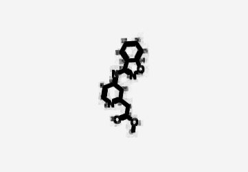 COC(=O)CC1=NC=CC(=Nc2noc3ccccc23)C1